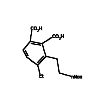 CCCCCCCCCCCc1c(CC)ccc(C(=O)O)c1C(=O)O